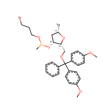 [3H][C@H]1C[C@@H](OP(C)OCCCBr)[C@@H](COC(c2ccccc2)(c2ccc(OC)cc2)c2ccc(OC)cc2)O1